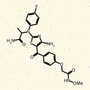 CONC(=O)COc1ccc(C(=O)c2sc(N(c3ccc(F)cc3)C(C)C(N)=O)nc2N)cc1